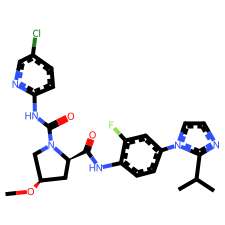 CO[C@@H]1C[C@H](C(=O)Nc2ccc(-n3ccnc3C(C)C)cc2F)N(C(=O)Nc2ccc(Cl)cn2)C1